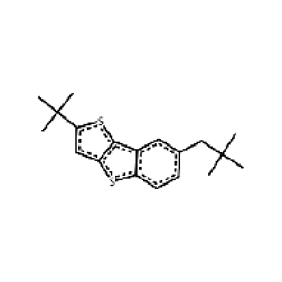 CC(C)(C)Cc1ccc2sc3cc(C(C)(C)C)sc3c2c1